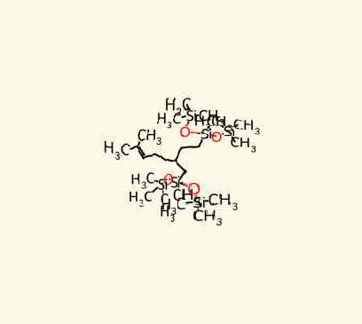 CC(C)=CCCC(CC[Si](C)(O[Si](C)(C)C)O[Si](C)(C)C)C[Si](C)(O[Si](C)(C)C)O[Si](C)(C)C